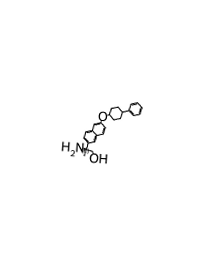 C[C@](N)(CO)c1ccc2cc(OC3CCC(c4ccccc4)CC3)ccc2c1